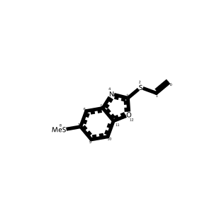 C=CSc1nc2cc(SC)ccc2o1